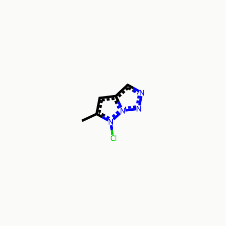 Cc1cc2cnnn2n1Cl